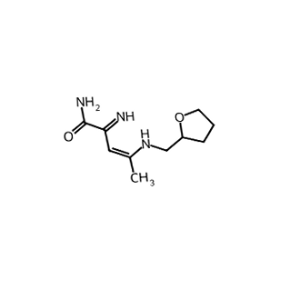 C/C(=C/C(=N)C(N)=O)NCC1CCCO1